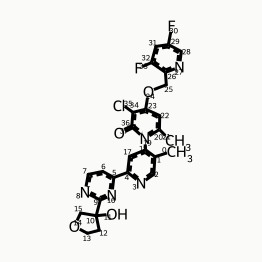 Cc1cnc(-c2ccnc(C3(O)CCOC3)n2)cc1-n1c(C)cc(OCc2ncc(F)cc2F)c(Cl)c1=O